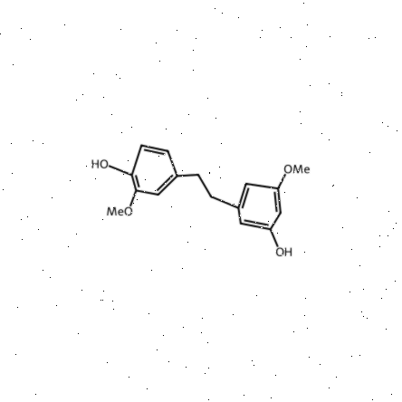 COc1cc(O)cc(CCc2ccc(O)c(OC)c2)c1